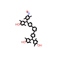 Cc1cc(C(c2ccc(-c3cccc(-c4ccc(C(c5cc(C)c(O)cc5C)c5cc(C)c(N=O)cc5C)cc4)c3)cc2)c2cc(C)c(O)cc2C)c(C)cc1O